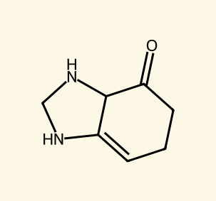 O=C1CCC=C2NCNC12